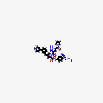 Cn1nnc2cc(CNC(=O)C3CC(Cc4cccc(-c5ccncc5)c4)CN3C(=O)C(N)CCC(=O)N3CCCC3)ccc21